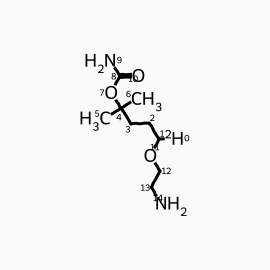 [2H]C(CCC(C)(C)OC(N)=O)OCCN